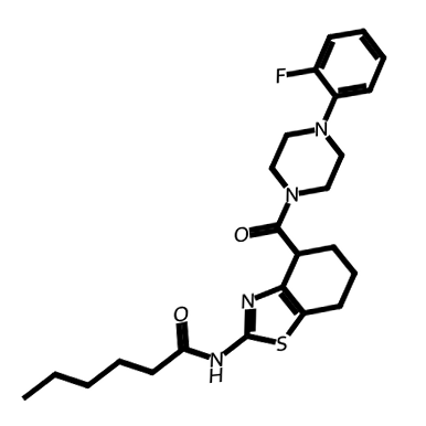 CCCCCC(=O)Nc1nc2c(s1)CCCC2C(=O)N1CCN(c2ccccc2F)CC1